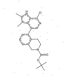 Cc1[nH]c2c(Cl)ncc(-c3cccc4c3CCN(C(=O)OC(C)(C)C)C4)c2c1C